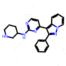 c1ccc(-c2nn3ccccc3c2-c2ccnc(NC3CCCNC3)n2)cc1